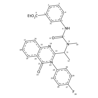 CCOC(=O)c1cccc(NC(=O)N(C)C(C)c2nc3ccccc3c(=O)n2-c2ccc(F)cc2)c1